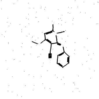 CNc1cc(N)n(C)/c(=N/c2ccccc2)c1C#N